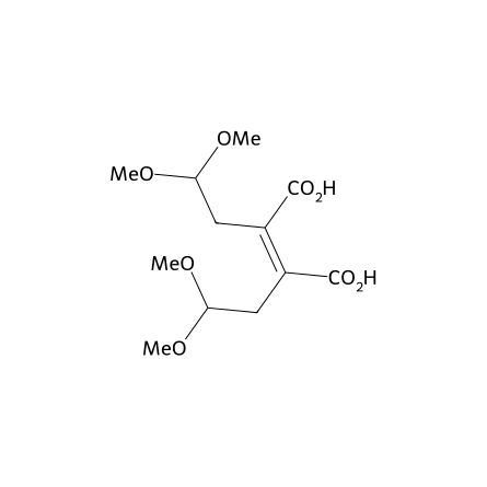 COC(C/C(C(=O)O)=C(\CC(OC)OC)C(=O)O)OC